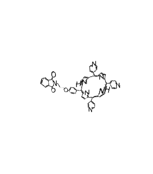 O=C1c2ccccc2C(=O)N1CCCOc1ccc(-c2c3nc(c(-c4ccncc4)c4ccc([nH]4)c(-c4ccncc4)c4nc(c(-c5ccncc5)c5ccc2[nH]5)C=C4)C=C3)cc1